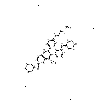 CSOCCOc1ccc(C2Oc3ccc(OC4CCCCO4)cc3C(C)=C2c2cccc(OC3CCCCO3)c2)cc1